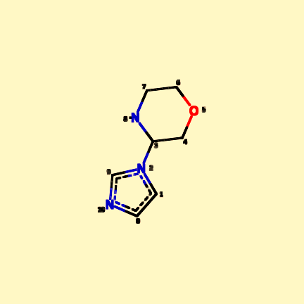 c1cn(C2COCC[N]2)cn1